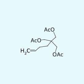 C=CCCC(COC(C)=O)(COC(C)=O)COC(C)=O